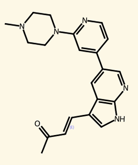 CC(=O)/C=C/c1c[nH]c2ncc(-c3ccnc(N4CCN(C)CC4)c3)cc12